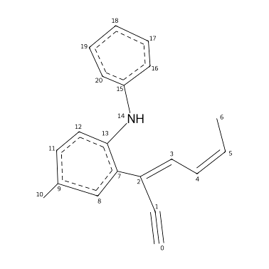 C#C/C(=C\C=C/C)c1cc(C)ccc1Nc1ccccc1